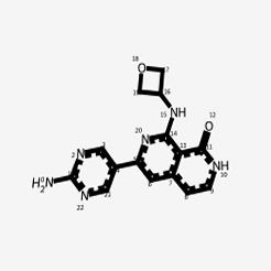 Nc1ncc(-c2cc3cc[nH]c(=O)c3c(NC3COC3)n2)cn1